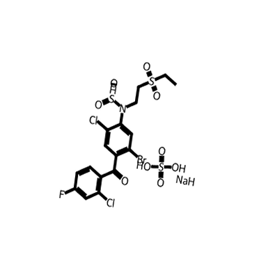 CCS(=O)(=O)CCN(c1cc(Br)c(C(=O)c2ccc(F)cc2Cl)cc1Cl)[SH](=O)=O.O=S(=O)(O)O.[NaH]